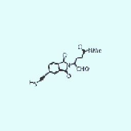 CNC(=O)CCC(C=O)N1C(=O)c2ccc(C#CSI)cc2C1=O